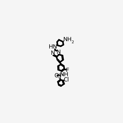 N[C@H]1CC[C@H](Nc2ncc3cc(-c4ccc(N[S+]([O-])c5ccccc5Cl)c(F)c4)ccc3n2)CC1